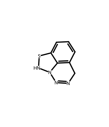 c1cc2c3c(c1)SNN3N=NC2